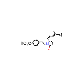 C/C(=C\C=C/[C@H]1CCC(=O)N1CCc1ccc(C(=O)O)cc1)C1CC1